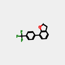 FC(F)(F)c1ccc(-c2cccc3c2O[CH]C3)cc1